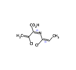 C=C(Cl)/C(=N\C(Cl)=C/C)C(=O)O